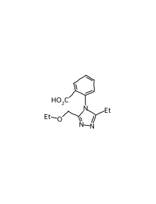 CCOCc1nnc(CC)n1-c1ccccc1C(=O)O